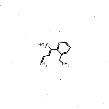 C=CC=C(C(=O)O)c1ccccc1CN